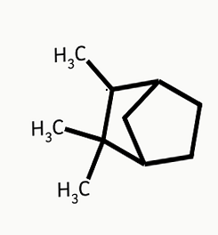 C[C]1C2CCC(C2)C1(C)C